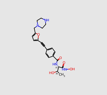 C[C@@H](O)[C@H](NC(=O)c1ccc(C#Cc2ccc(CN3CCNCC3)o2)cc1)C(=O)NO